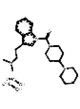 CN(C)CCc1cn(C(=O)N2CCC(N3CCCCC3)CC2)c2ccccc12.O=CO.O=CO